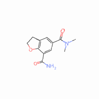 CN(C)C(=O)c1cc2c(c(C(N)=O)c1)OCC2